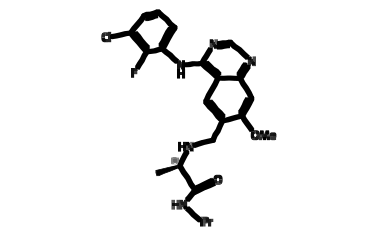 COc1cc2ncnc(Nc3cccc(Cl)c3F)c2cc1CN[C@H](C)C(=O)NC(C)C